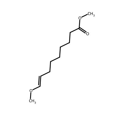 COC=CCCCCCCC(=O)OC